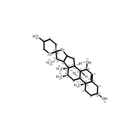 CC1CC[C@@]2(OC1)OC1C[C@H]3[C@@H]4[C@@H](O)C=C5C[C@@H](O)CC[C@]5(C)[C@H]4C[C@@H](C)[C@]3(C)C1[C@@H]2C